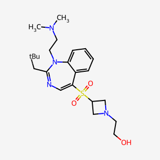 CN(C)CCN1C(CC(C)(C)C)=NC=C(S(=O)(=O)C2CN(CCO)C2)c2ccccc21